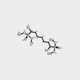 CCOP(=O)(OCC)C(CC)CCCCCC(CC)P(=O)(OCC)OCC